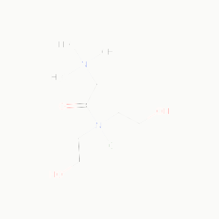 C[N+](C)(C)CC(=O)[N+](Cl)(CCO)CCO